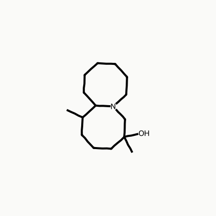 CC1CCCC(C)(O)CN2CCCCCCC12